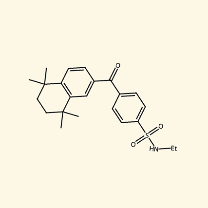 CCNS(=O)(=O)c1ccc(C(=O)c2ccc3c(c2)C(C)(C)CCC3(C)C)cc1